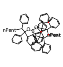 CCCCCC(c1ccccc1)C(OB(OC(c1ccccc1)(c1ccccc1)C(CCCCC)c1ccccc1)OC(c1ccccc1)(c1ccccc1)C(CCCCC)c1ccccc1)(c1ccccc1)c1ccccc1